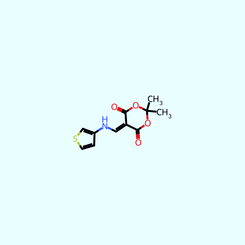 CC1(C)OC(=O)C(=CNc2ccsc2)C(=O)O1